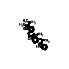 Cc1[nH]c2c(CC(C)c3cn(C)c4c(CC(C)c5c[nH]c6ccccc56)cccc34)cccc2c1C(C)C